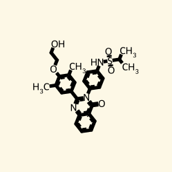 Cc1cc(-c2nc3ccccc3c(=O)n2-c2ccc(NS(=O)(=O)C(C)C)cc2)cc(C)c1OCCO